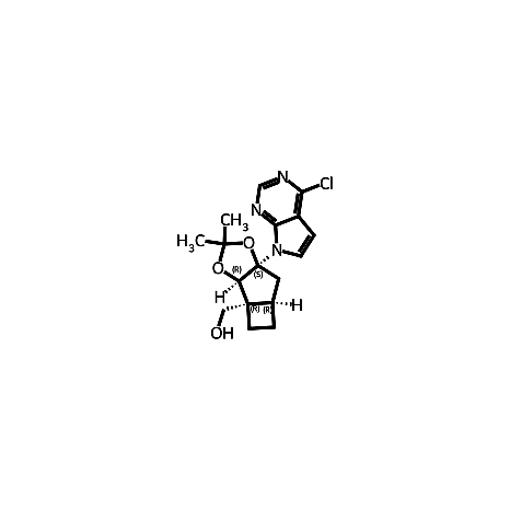 CC1(C)O[C@@H]2[C@]3(CO)CC[C@@H]3C[C@]2(n2ccc3c(Cl)ncnc32)O1